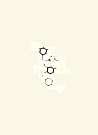 CCN(C[C@H]1CC[C@H](C(=O)O)CC1)c1ccc(OC(F)(F)F)cc1CN(Cc1cc(Cl)cc(C(F)(F)F)c1)c1nnn(C)n1.Cl